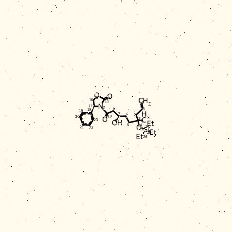 C=CCC(C)(CC[C@@H](O)CC(=O)N1C(=O)OC[C@@H]1c1ccccc1)O[Si](CC)(CC)CC